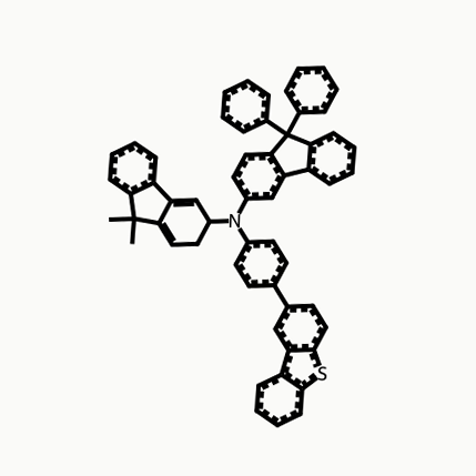 CC1(C)C2=CCC(N(c3ccc(-c4ccc5sc6ccccc6c5c4)cc3)c3ccc4c(c3)-c3ccccc3C4(c3ccccc3)c3ccccc3)C=C2c2ccccc21